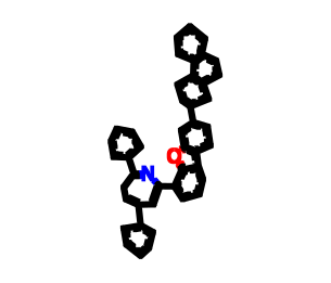 C1=C(c2ccccc2)C=C(c2cccc3c2oc2cc(-c4ccc5c(ccc6ccccc65)c4)ccc23)N=C(c2ccccc2)C1